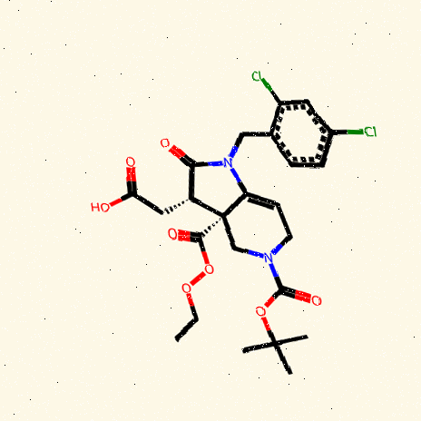 CCOOC(=O)[C@@]12CN(C(=O)OC(C)(C)C)CC=C1N(Cc1ccc(Cl)cc1Cl)C(=O)[C@H]2CC(=O)O